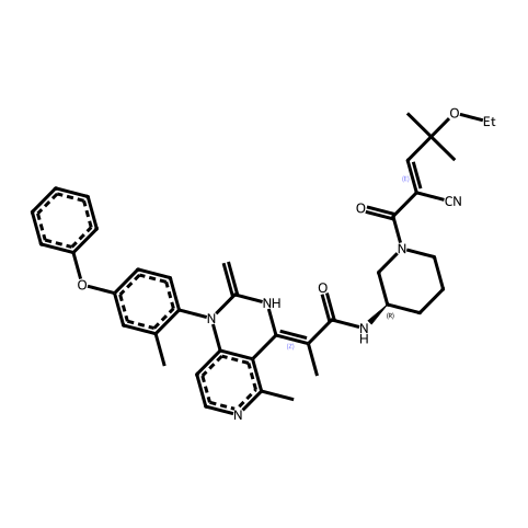 C=C1N/C(=C(/C)C(=O)N[C@@H]2CCCN(C(=O)/C(C#N)=C/C(C)(C)OCC)C2)c2c(ccnc2C)N1c1ccc(Oc2ccccc2)cc1C